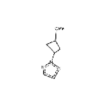 COC1CC(n2nccn2)C1